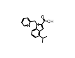 CC(C)c1cccc2c1cc(C(=O)O)n2Cc1ccccn1